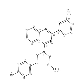 O=C(O)CCN(CCc1ccc(Br)cc1)c1nc(-c2cccc(C(F)(F)F)c2)nc2ccccc12